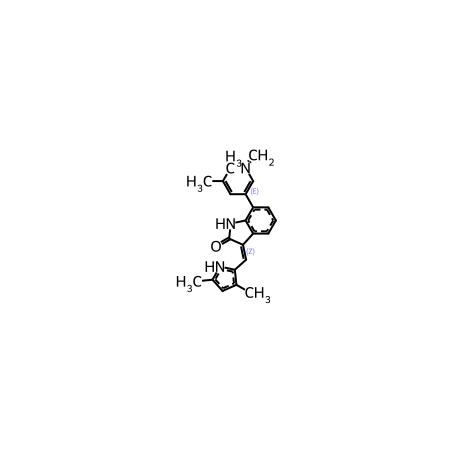 C=N/C=C(\C=C(C)C)c1cccc2c1NC(=O)/C2=C\c1[nH]c(C)cc1C